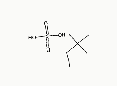 CCC(C)(C)C.O=S(=O)(O)O